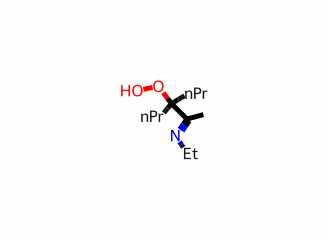 CCCC(CCC)(OO)/C(C)=N/CC